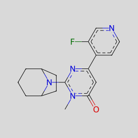 Cn1c(N2C3CCCC2CC3)nc(-c2ccncc2F)cc1=O